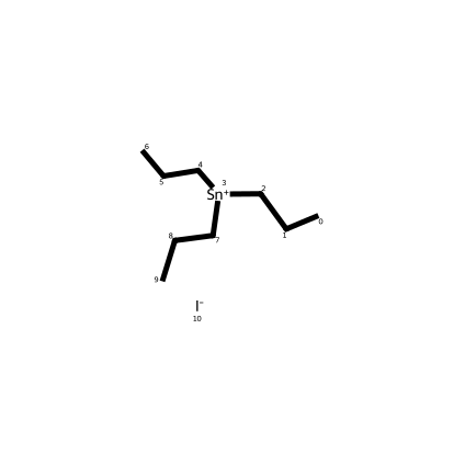 CC[CH2][Sn+]([CH2]CC)[CH2]CC.[I-]